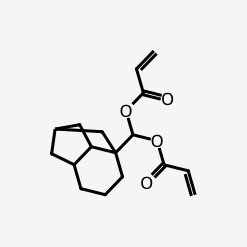 C=CC(=O)OC(OC(=O)C=C)C12CCCC3CC(CC31)C2